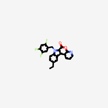 CCc1ccc2c(c1)c1c3cccnc3oc(=O)c1n2Cc1cc(F)c(F)cc1F